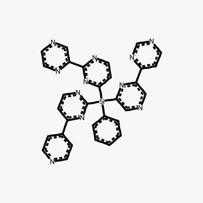 c1ccc([Si](c2cncc(-c3ccncn3)n2)(c2ccnc(-c3cnccn3)n2)c2nccc(-c3ccncc3)n2)cc1